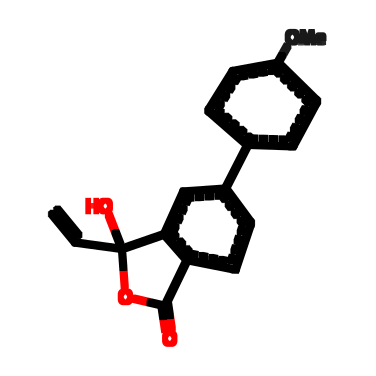 C=CC1(O)OC(=O)c2ccc(-c3ccc(OC)cc3)cc21